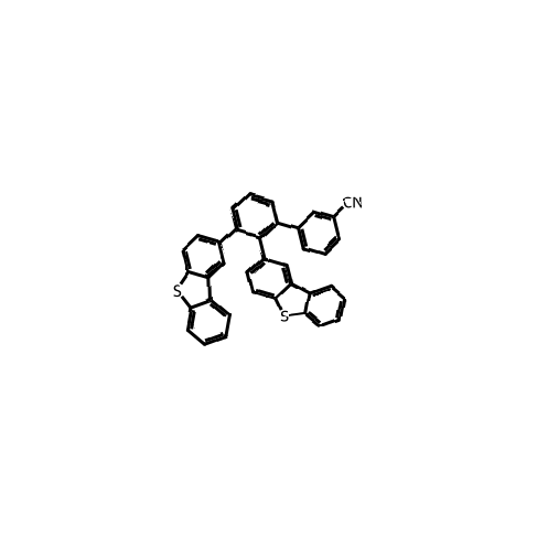 N#Cc1cccc(-c2cccc(-c3ccc4sc5ccccc5c4c3)c2-c2ccc3sc4ccccc4c3c2)c1